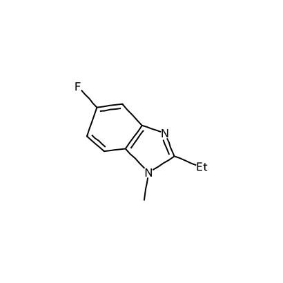 CCc1nc2cc(F)ccc2n1C